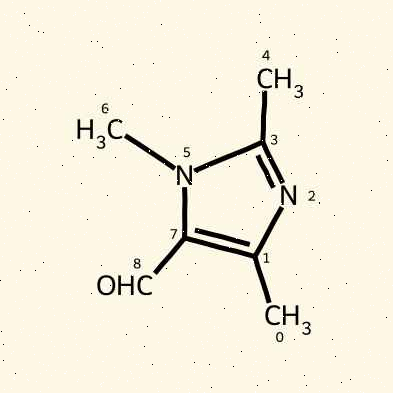 Cc1nc(C)n(C)c1C=O